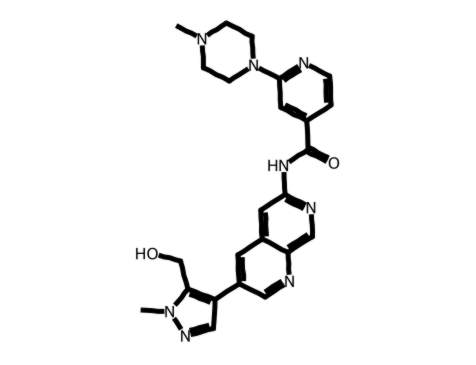 CN1CCN(c2cc(C(=O)Nc3cc4cc(-c5cnn(C)c5CO)cnc4cn3)ccn2)CC1